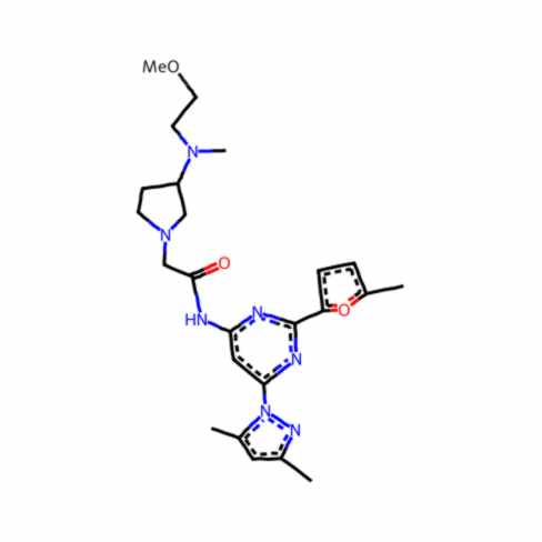 COCCN(C)C1CCN(CC(=O)Nc2cc(-n3nc(C)cc3C)nc(-c3ccc(C)o3)n2)C1